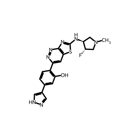 CN1C[C@H](Nc2nc3nnc(-c4ccc(-c5cn[nH]c5)cc4O)cc3s2)[C@@H](F)C1